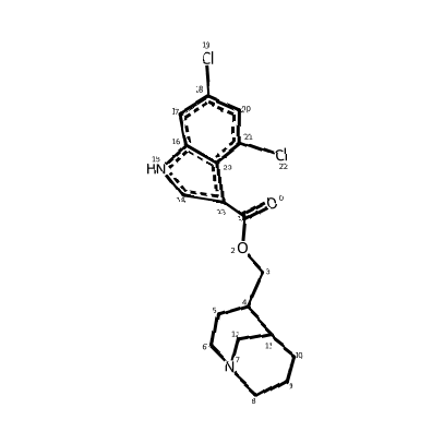 O=C(OCC1CCN2CCCC1C2)c1c[nH]c2cc(Cl)cc(Cl)c12